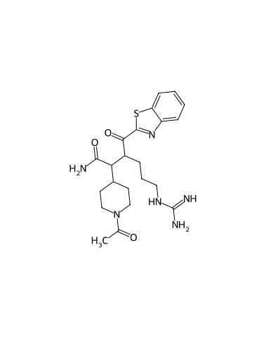 CC(=O)N1CCC(C(C(N)=O)C(CCCNC(=N)N)C(=O)c2nc3ccccc3s2)CC1